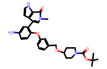 Cn1cc(-c2cc(N)ccc2Oc2cccc(COC3CCN(C(=O)OC(C)(C)C)CC3)c2)c2cc[nH]c2c1=O